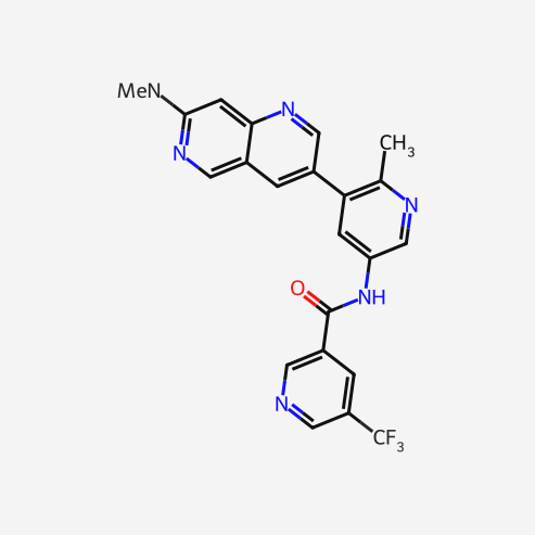 CNc1cc2ncc(-c3cc(NC(=O)c4cncc(C(F)(F)F)c4)cnc3C)cc2cn1